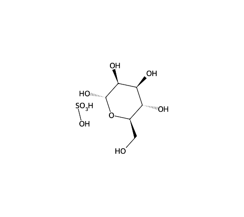 O=S(=O)(O)O.OC[C@H]1O[C@H](O)[C@@H](O)[C@@H](O)[C@@H]1O